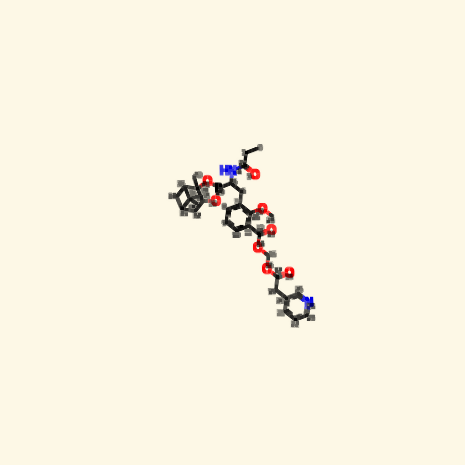 CCC(=O)NC(Cc1cccc(C(=O)OCOC(=O)Cc2cccnc2)c1OC)B1OC2CC3CC(C3(C)C)C2(C)O1